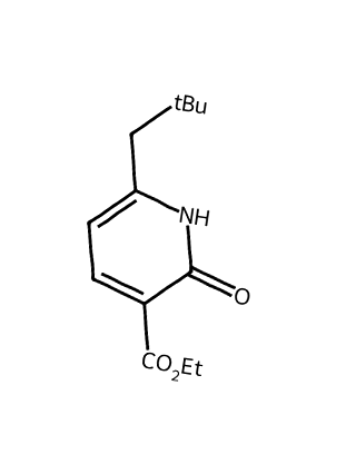 CCOC(=O)c1ccc(CC(C)(C)C)[nH]c1=O